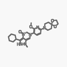 COc1nc(N2CCC3(CC2)OCCO3)ccc1N1C=C2C(=C(C3CCCCC3)NN2C)[N+](=O)C1